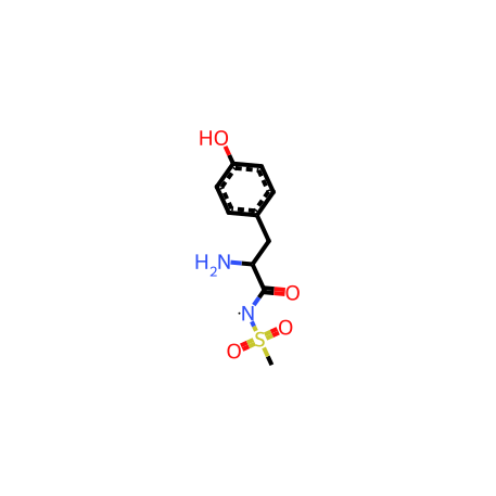 CS(=O)(=O)[N]C(=O)C(N)Cc1ccc(O)cc1